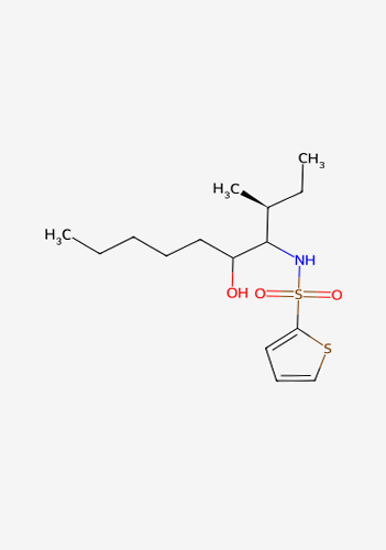 CCCCCC(O)C(NS(=O)(=O)c1cccs1)[C@@H](C)CC